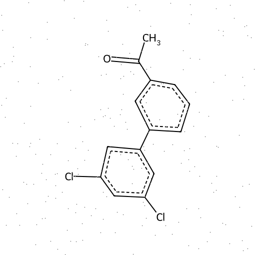 CC(=O)c1cccc(-c2cc(Cl)cc(Cl)c2)c1